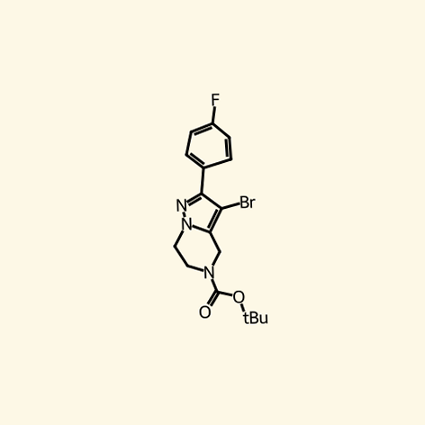 CC(C)(C)OC(=O)N1CCn2nc(-c3ccc(F)cc3)c(Br)c2C1